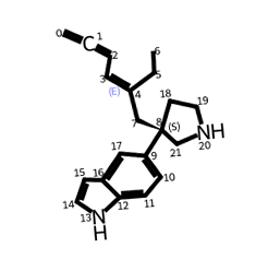 C=C=C/C=C(\CC)C[C@@]1(c2ccc3[nH]ccc3c2)CCNC1